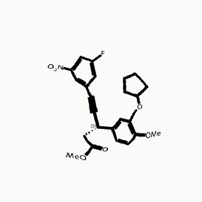 COC(=O)C[C@H](C#Cc1cc(F)cc([N+](=O)[O-])c1)c1ccc(OC)c(OC2CCCC2)c1